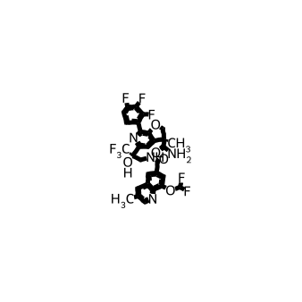 Cc1cnc2c(OC(F)F)cc(C(=O)NC[C@](O)(c3cc4c(c(-c5ccc(F)c(F)c5F)n3)OC[C@]4(C)C(N)=O)C(F)(F)F)cc2c1